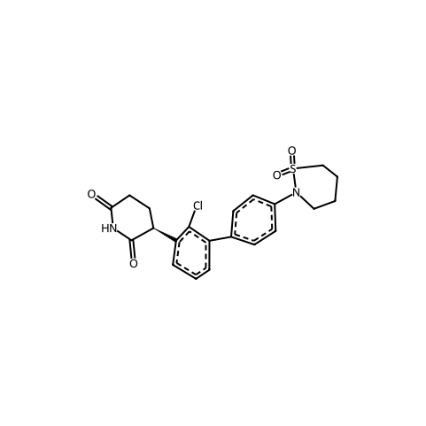 O=C1CC[C@@H](c2cccc(-c3ccc(N4CCCCS4(=O)=O)cc3)c2Cl)C(=O)N1